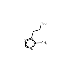 [CH2]CCCCCc1scnc1C